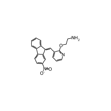 NCCOc1ncccc1C=C1c2ccccc2-c2ccc([N+](=O)[O-])cc21